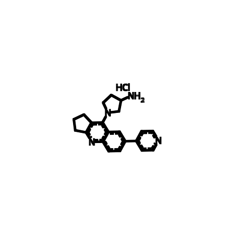 Cl.NC1CCN(c2c3c(nc4ccc(-c5ccncc5)cc24)CCC3)C1